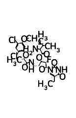 CCc1cn([C@@H]2O[C@H](CNC(=O)[C@H](C)Oc3cc(OC)c(Cl)cc3Cl)[C@@H](OC(=O)[C@@H](N)C(C)C)[C@@H]2F)c(=O)[nH]c1=O